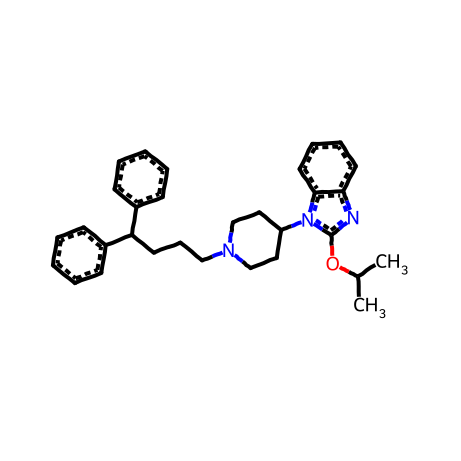 CC(C)Oc1nc2ccccc2n1C1CCN(CCCC(c2ccccc2)c2ccccc2)CC1